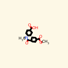 COC(=O)c1ccc(C(=O)N(C)c2ccc(C(=O)O)cc2)cc1